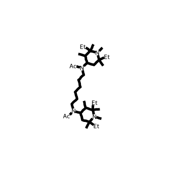 CCC1(C)CC(N(CCCCCCN(C(C)=O)C2CC(C)(CC)N(C)C(C)(CC)C2C)C(C)=O)C(C)C(C)(CC)N1C